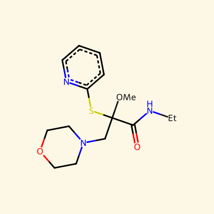 CCNC(=O)C(CN1CCOCC1)(OC)Sc1ccccn1